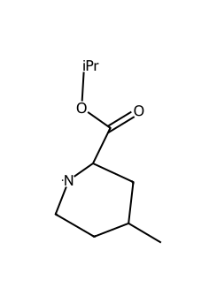 CC1CC[N]C(C(=O)OC(C)C)C1